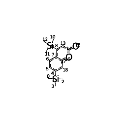 C[Si](C)(C)c1ccc2c([Si](C)(C)C)cc(=O)oc2c1